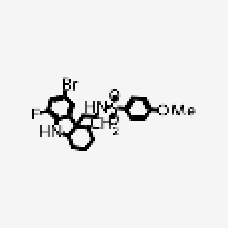 C=C1CCCC2Nc3c(F)cc(Br)cc3C12CCNS(=O)(=O)c1ccc(OC)cc1